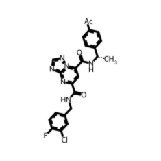 CC(=O)c1ccc([C@H](C)NC(=O)c2cc(C(=O)NCc3ccc(F)c(Cl)c3)nc3ncnn23)cc1